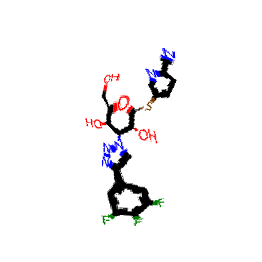 N#Cc1ccc(S[C@H]2O[C@H](CO)[C@H](O)[C@H](n3cc(-c4cc(F)c(F)c(F)c4)nn3)[C@H]2O)cn1